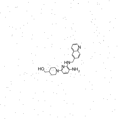 Nc1ccc(N2CCC(CO)CC2)nc1NCc1ccc2ncccc2c1